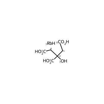 O=C(O)CC(O)(CC(=O)O)C(=O)O.[RbH]